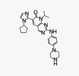 CC(C)n1c(=O)c(-c2nccn2C2CCCC2)cc2cnc(Nc3ccc(N4CCNCC4)cc3)nc21